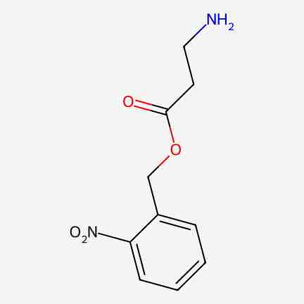 NCCC(=O)OCc1ccccc1[N+](=O)[O-]